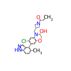 C=CC(=O)N1CC(CN2c3cc(Cl)c(-c4c(C)ccc5[nH]ncc45)cc3OCC2O)C1